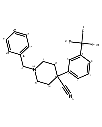 N#CC1(c2cccc(C(F)(F)F)c2)CCN(Cc2ccccc2)CC1